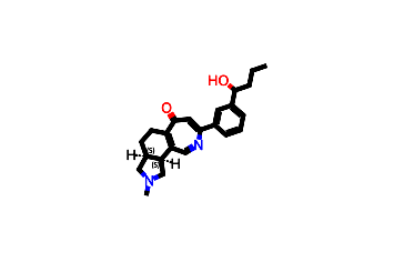 CCCC(O)c1cccc(-c2cc(=O)c3c(cn2)[C@H]2CN(C)C[C@H]2CC3)c1